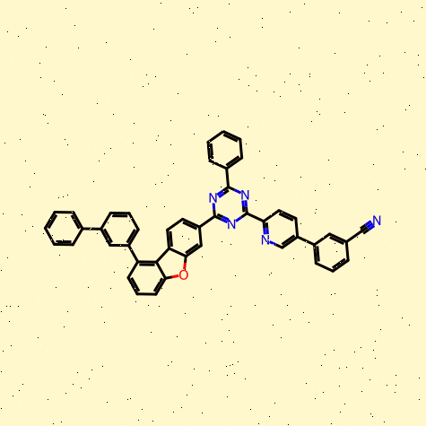 N#Cc1cccc(-c2ccc(-c3nc(-c4ccccc4)nc(-c4ccc5c(c4)oc4cccc(-c6cccc(-c7ccccc7)c6)c45)n3)nc2)c1